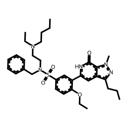 CCCCN(CC)CCN(Cc1ccccc1)S(=O)(=O)c1ccc(OCC)c(-c2cc3c(CCC)nn(C)c3c(=O)[nH]2)c1